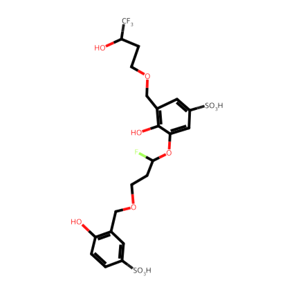 O=S(=O)(O)c1ccc(O)c(COCCC(F)Oc2cc(S(=O)(=O)O)cc(COCCC(O)C(F)(F)F)c2O)c1